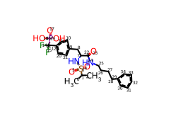 CC(C)S(=O)(=O)NC(Cc1ccc(C(F)(F)P(=O)(O)O)cc1)C(=O)NCCCCc1ccccc1